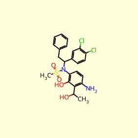 CC(O)c1c(N)ccc(N(C(Cc2ccccc2)c2ccc(Cl)c(Cl)c2)S(C)(=O)=O)c1O